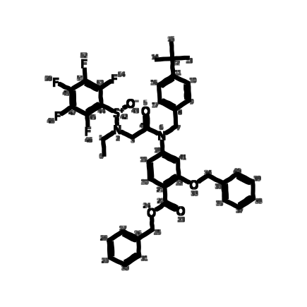 CCN(CC(=O)N(Cc1ccc(C(C)(C)C)cc1)c1ccc(C(=O)OCc2ccccc2)c(OCc2ccccc2)c1)[S+]([O-])c1c(F)c(F)c(F)c(F)c1F